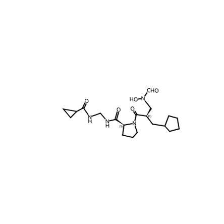 O=CN(O)C[C@@H](CC1CCCC1)C(=O)N1CCC[C@H]1C(=O)NCNC(=O)C1CC1